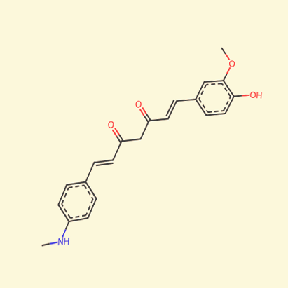 CNc1ccc(/C=C/C(=O)CC(=O)/C=C/c2ccc(O)c(OC)c2)cc1